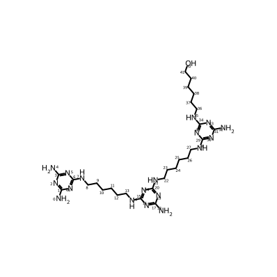 Nc1nc(N)nc(NCCCCCCNc2nc(N)nc(NCCCCCCNc3nc(N)nc(NCCCCCCO)n3)n2)n1